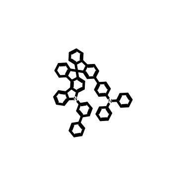 C1=CC2=C(CC1)c1c(ccc3c1c1ccccc1n3-c1cccc(-c3ccccc3)c1)C21c2ccccc2-c2ccc(-c3ccc(N(c4ccccc4)c4ccccc4)cc3)cc21